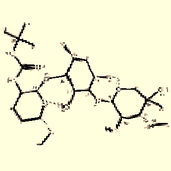 CC[C@@H]1CCC(NC(=O)OC(C)(C)C)[C@@H](OC2C(O)C(O[C@H]3OCC(C)(O)[C@H](NC)C3O)[C@H](N)C[C@@H]2C)O1